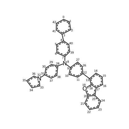 c1ccc(-c2ccc(N(c3ccc(-c4cccc5c4oc4ccccc45)cc3)c3ccc(-n4cccc4)cc3)cc2)cc1